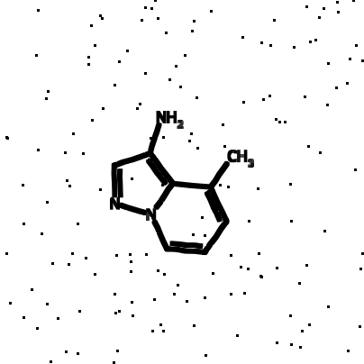 Cc1cccn2ncc(N)c12